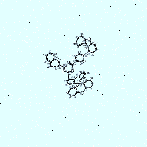 c1ccc2c(c1)Oc1ccccc1C21c2ccccc2-c2c(-c3nc(-c4ccc(-c5cccc6oc7ccccc7c56)cc4)nc(-c4ccc5ccccc5c4)n3)cccc21